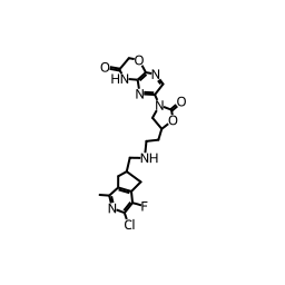 Cc1nc(Cl)c(F)c2c1CC(CNCCC1CN(c3cnc4c(n3)NC(=O)CO4)C(=O)O1)C2